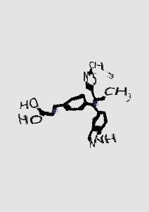 CC/C(=C(/c1ccc(/C=C/C(O)O)cc1)c1ccc2[nH]ncc2c1)c1cnc(C)s1